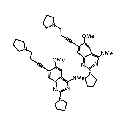 CNc1nc(N2CCCC2)nc2cc(C#CCCN3CCCC3)c(OC)cc12.CNc1nc(N2CCCC2)nc2cc(C#CCCN3CCCC3)c(OC)cc12